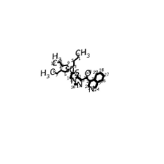 CCC[CH2][Sn]([CH2]CCC)([CH2]CCC)[c]1cn2cnc(C(=O)c3cncc4ccccc34)c2s1